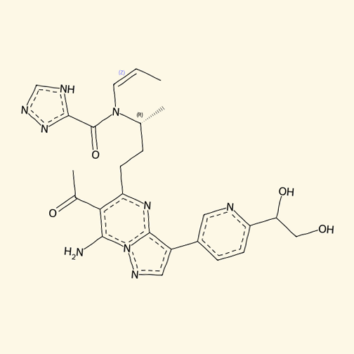 C/C=C\N(C(=O)c1nnc[nH]1)[C@H](C)CCc1nc2c(-c3ccc(C(O)CO)nc3)cnn2c(N)c1C(C)=O